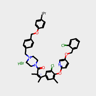 Br.C/C(C(=O)N1CCN(Cc2ccc(COc3ccc(C(C)C)cc3)cc2)CC1)=C(\C)c1cc(C)c(Oc2ccc(OCc3ccccc3Cl)cn2)c(Cl)c1